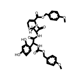 COc1ccc(COC(=O)NC(C(=O)NC2C(=O)N3C(C(=O)OCc4ccc(OC)cc4)=CCS[C@@H]23)c2ccc(O)cc2O)cc1